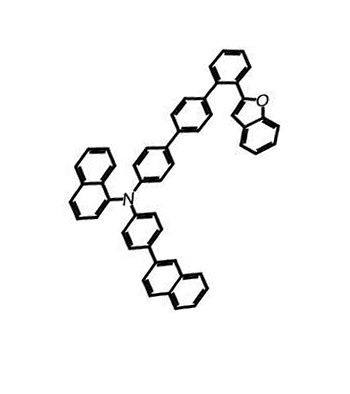 c1ccc(-c2cc3ccccc3o2)c(-c2ccc(-c3ccc(N(c4ccc(-c5ccc6ccccc6c5)cc4)c4cccc5ccccc45)cc3)cc2)c1